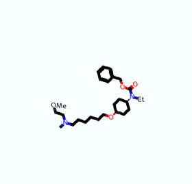 CCN(C(=O)OCc1ccccc1)[C@H]1CC[C@H](OCCCCCCN(C)CCOC)CC1